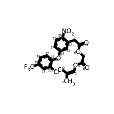 CC(Cl)=COC(=O)COC(=O)Cc1cc(Oc2ccc(C(F)(F)F)cc2Cl)ccc1[N+](=O)[O-]